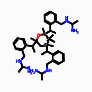 CC(N)NCc1ccccc1C(C)C1(C)C[Si](C)(C(C)c2ccccc2CNC(C)N)[Si](C)(C)[Si](C)(C(C)c2ccccc2CNC(C)N)O1